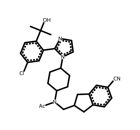 CC(=O)N(CC1Cc2ccc(C#N)cc2C1)C1CCC(n2ccnc2-c2cc(Cl)ccc2C(C)(C)O)CC1